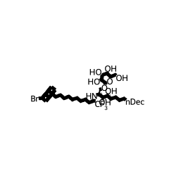 CCCCCCCCCCCCCC[C@@H](O)[C@@H](O)[C@H](COC1OC(CO)C(O)C(O)C1O)N[C@@H](CCCCCCCCCC12C3C4C1C1C2C3C41Br)C(F)(F)F